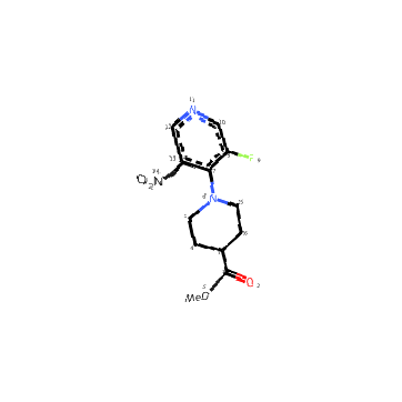 COC(=O)C1CCN(c2c(F)cncc2[N+](=O)[O-])CC1